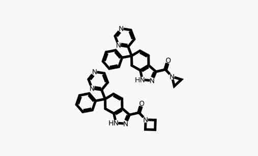 O=C(c1n[nH]c2c1C=CC(c1ccccc1)(c1ccncn1)C2)N1CC1.O=C(c1n[nH]c2c1C=CC(c1ccccc1)(c1ccncn1)C2)N1CCC1